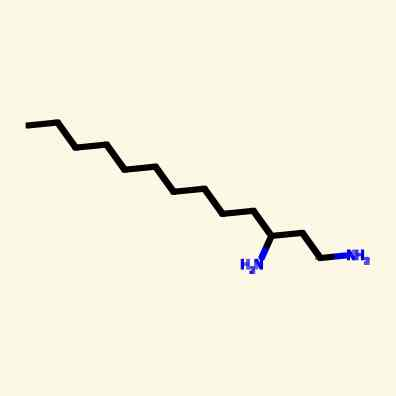 CCCCCCCCCCC(N)C[CH]N